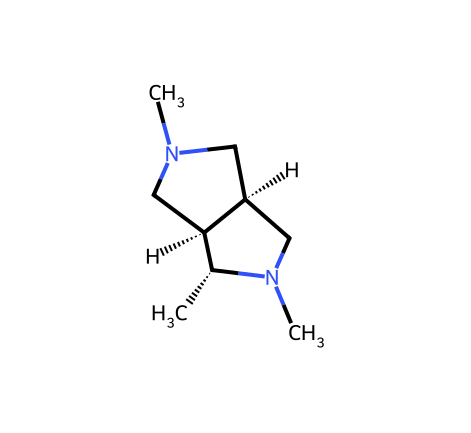 C[C@@H]1[C@H]2CN(C)C[C@H]2CN1C